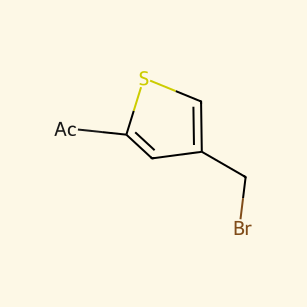 CC(=O)c1cc(CBr)cs1